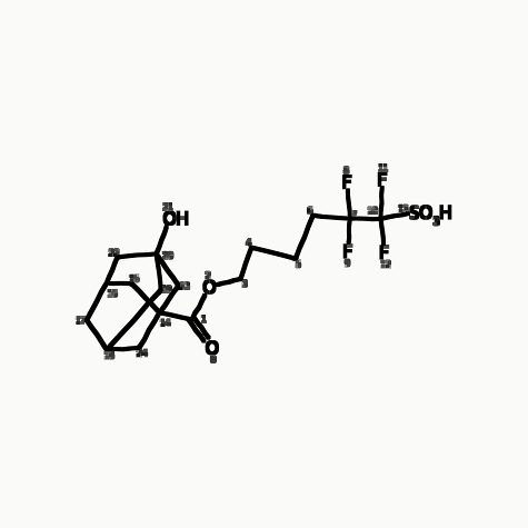 O=C(OCCCCC(F)(F)C(F)(F)S(=O)(=O)O)C12CC3CC(CC(O)(C3)C1)C2